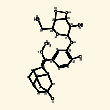 COC(=C1C2CC3CC1CC(Cl)(C3)C2)c1ccc(Cl)c(OC2OC(CO)C3OOC3C2O)c1